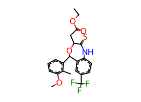 CCOC(=O)CC1OC(c2cccc(OC)c2C)c2cc(C(F)(F)F)ccc2NC1=S